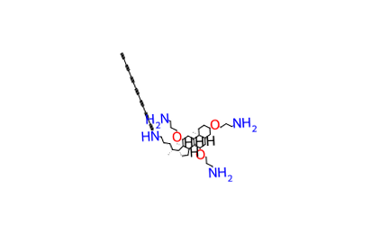 C#CC#CC#CC#CC#CC#CC#CNCCC[C@@H](C)[C@H]1CC[C@H]2[C@@H]3[C@H](OCCCN)C[C@@H]4C[C@H](OCCCN)CC[C@]4(C)[C@H]3C[C@H](OCCCN)[C@]12C